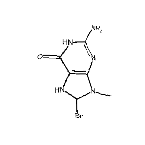 CN1c2nc(N)[nH]c(=O)c2NC1Br